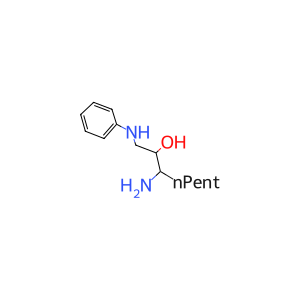 CCCCCC(N)C(O)CNc1ccccc1